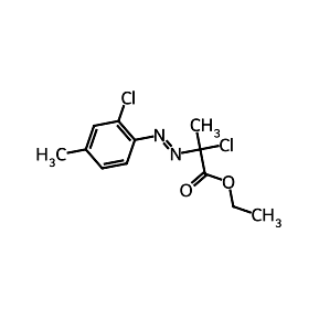 CCOC(=O)C(C)(Cl)N=Nc1ccc(C)cc1Cl